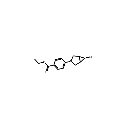 CCOC(=O)c1ccc(N2CC3C(N)C3C2)cc1